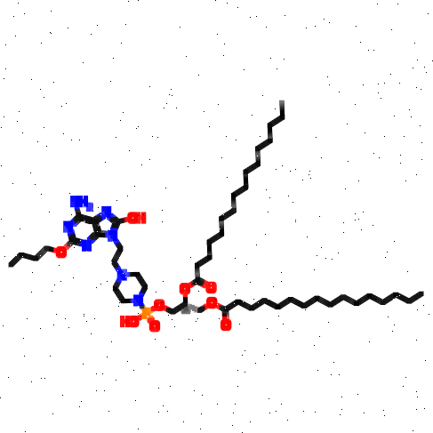 CCCCCCCCCCCCCCCC(=O)OC[C@H](COP(=O)(O)N1CCN(CCn2c(O)nc3c(N)nc(OCCCC)nc32)CC1)OC(=O)CCCCCCCCCCCCCCC